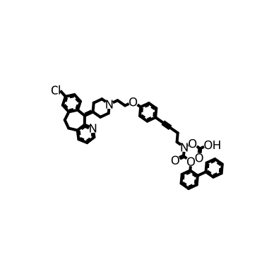 O=C(O)ON(CCC#Cc1ccc(OCCN2CCC(=C3c4ccc(Cl)cc4CCc4cccnc43)CC2)cc1)C(=O)Oc1ccccc1-c1ccccc1